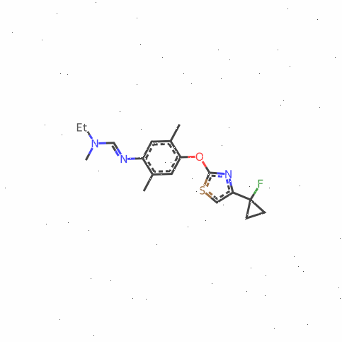 CCN(C)C=Nc1cc(C)c(Oc2nc(C3(F)CC3)cs2)cc1C